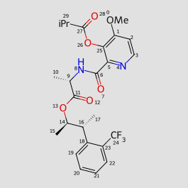 COc1ccnc(C(=O)N[C@@H](C)C(=O)O[C@H](C)[C@H](C)c2ccccc2C(F)(F)F)c1OC(=O)C(C)C